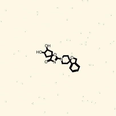 O=C1N=C(N2CCC3(CC2)OCc2ccccc23)OC12CC(O)C(O)C2